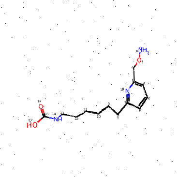 NOCc1cccc(CCCCCCNC(=O)O)n1